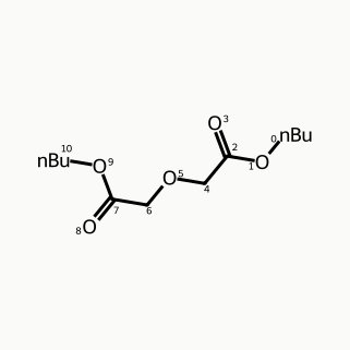 CCCCOC(=O)COCC(=O)OCCCC